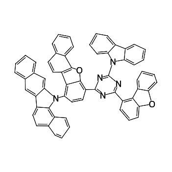 c1ccc2cc3c(cc2c1)c1ccc2ccccc2c1n3-c1ccc(-c2nc(-c3cccc4oc5ccccc5c34)nc(-n3c4ccccc4c4ccccc43)n2)c2oc3c4ccccc4ccc3c12